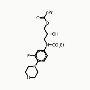 CCCC(=O)OC[C@H](O)CN(C(=O)OCC)c1ccc(N2CCOCC2)c(F)c1